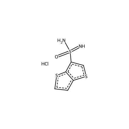 Cl.N=S(N)(=O)c1csc2ccsc12